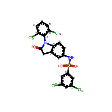 O=C1Cc2cc(NS(=O)(=O)c3cc(Cl)cc(Cl)c3)ccc2N1c1c(Cl)cccc1Cl